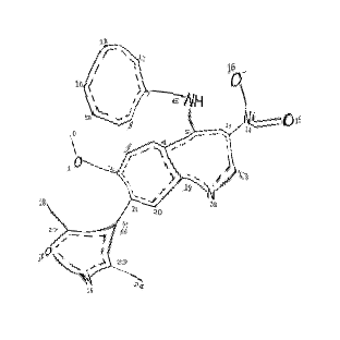 COc1cc2c(Nc3ccccc3)c([N+](=O)[O-])cnc2cc1-c1c(C)noc1C